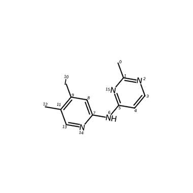 Cc1nccc(Nc2cc(I)c(C)cn2)n1